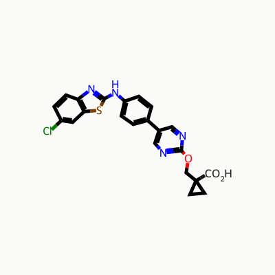 O=C(O)C1(COc2ncc(-c3ccc(Nc4nc5ccc(Cl)cc5s4)cc3)cn2)CC1